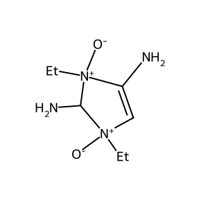 CC[N+]1([O-])C=C(N)[N+]([O-])(CC)C1N